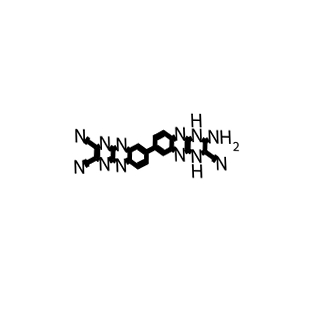 N#Cc1nc2nc3ccc(-c4ccc5nc6c(nc5c4)NC(C#N)C(N)N6)cc3nc2nc1C#N